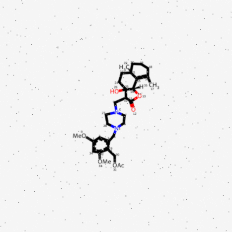 COc1cc(CN2CCN(CC3C(=O)O[C@H]4C5=C(C)CCC[C@]5(C)CCC34O)CC2)c(COC(C)=O)c(OC)c1